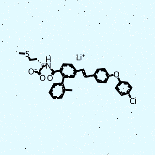 CSCC[C@H](NC(=O)c1ccc(C=Cc2ccc(Oc3ccc(Cl)cc3)cc2)cc1-c1ccccc1C)C(=O)[O-].[Li+]